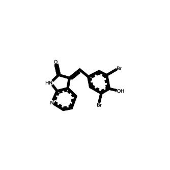 O=C1Nc2ncccc2/C1=C\c1cc(Br)c(O)c(Br)c1